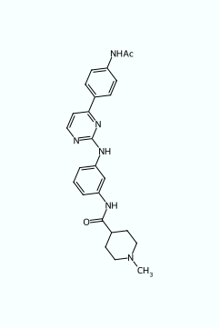 CC(=O)Nc1ccc(-c2ccnc(Nc3cccc(NC(=O)C4CCN(C)CC4)c3)n2)cc1